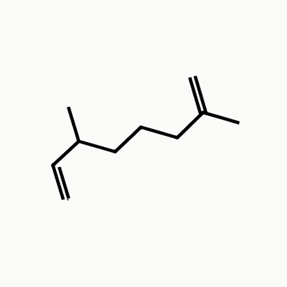 [CH]=CC(C)CCCC(=C)C